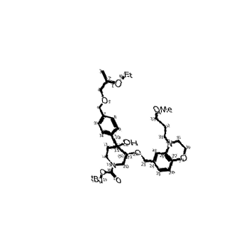 CCOC(C)COCc1ccc([C@@]2(O)CCN(C(=O)OC(C)(C)C)C[C@@H]2OCc2ccc3c(c2)N(CCCOC)CCO3)cc1